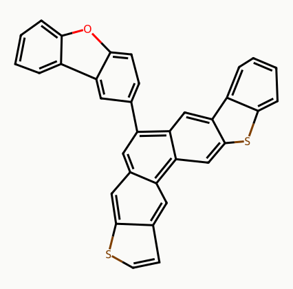 c1ccc2c(c1)oc1ccc(-c3cc4cc5sccc5cc4c4cc5sc6ccccc6c5cc34)cc12